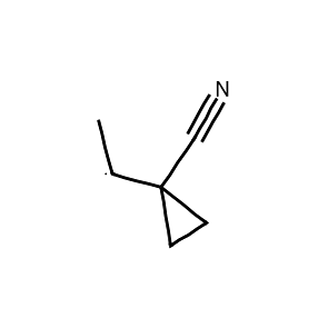 C[CH]C1(C#N)CC1